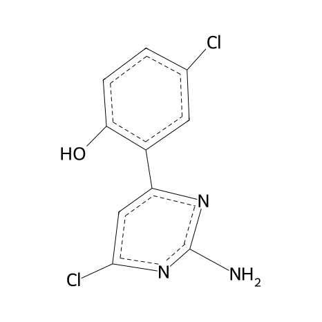 Nc1nc(Cl)cc(-c2cc(Cl)ccc2O)n1